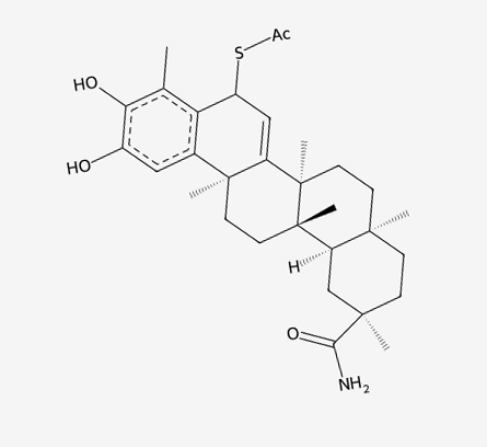 CC(=O)SC1C=C2[C@@](C)(CC[C@@]3(C)[C@@H]4C[C@](C)(C(N)=O)CC[C@]4(C)CC[C@]23C)c2cc(O)c(O)c(C)c21